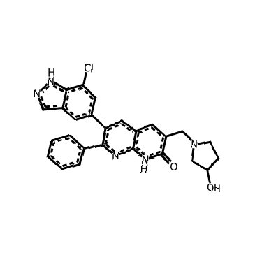 O=c1[nH]c2nc(-c3ccccc3)c(-c3cc(Cl)c4[nH]ncc4c3)cc2cc1CN1CCC(O)C1